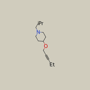 CCC#CCOC1CCN(CC(C)C)CC1